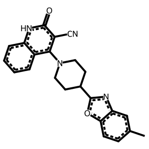 Cc1ccc2oc(C3CCN(c4c(C#N)c(=O)[nH]c5ccccc45)CC3)nc2c1